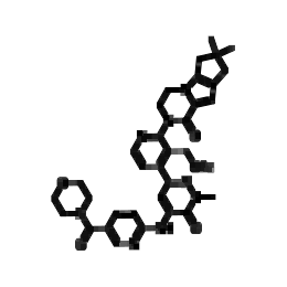 CC(=O)OCc1c(-c2cc(Nc3ccc(C(=O)N4CCOCC4)cn3)c(=O)n(C)n2)ccnc1N1CCn2c(cc3c2CC(C)(C)C3)C1=O